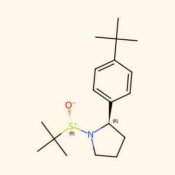 CC(C)(C)c1ccc([C@H]2CCCN2[S@@+]([O-])C(C)(C)C)cc1